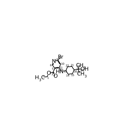 CCOC(=O)c1cnc(Br)cc1NC1CCC(C(C)(C)O)CC1